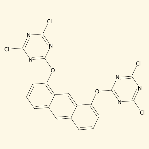 Clc1nc(Cl)nc(Oc2cccc3cc4cccc(Oc5nc(Cl)nc(Cl)n5)c4cc23)n1